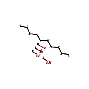 CBr.CBr.CBr.CBr.CCCCCCCCCC